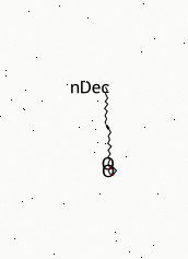 CCCCCCCCCCCCCCCCCCCCC#CCCCCCCCCCOC1CCCCO1